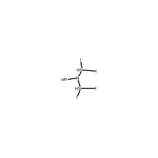 CCCN([SiH](I)I)[SiH](I)I